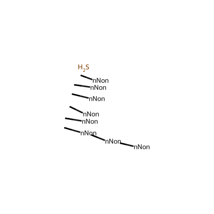 CCCCCCCCCC.CCCCCCCCCC.CCCCCCCCCC.CCCCCCCCCC.CCCCCCCCCC.CCCCCCCCCC.CCCCCCCCCC.CCCCCCCCCC.S